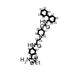 CCS(=O)(=O)C(N)c1ccc(NC(=O)CCN2CCC(OC(=O)Nc3ccccc3-c3ccccc3)CC2)cc1